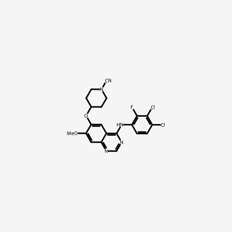 COc1cc2ncnc(Nc3ccc(Cl)c(Cl)c3F)c2cc1OC1CCN(C#N)CC1